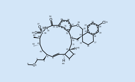 COCC[C@@H]1/C=C/[C@@H]2CC[C@H]2CN2C[C@@]3(CCCc4cc(Cl)ccc43)COc3ccc(cc32)C(=O)NS(=O)(=O)[C@H](C)[C@@H](C)C1